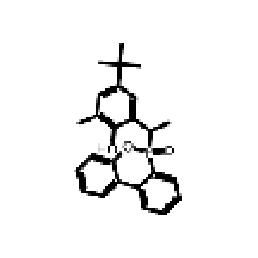 Cc1cc(C(C)(C)C)cc(C(C)P2(=O)Oc3ccccc3-c3ccccc32)c1O